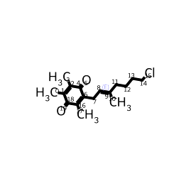 CC1=C(C)C(=O)C(C/C=C(\C)CCCCCl)=C(C)C1=O